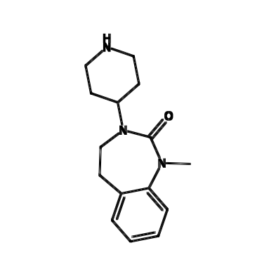 CN1C(=O)N(C2CCNCC2)CCc2ccccc21